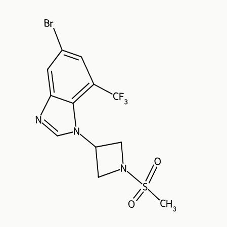 CS(=O)(=O)N1CC(n2cnc3cc(Br)cc(C(F)(F)F)c32)C1